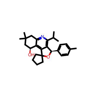 Cc1ccc([C@H]2OC3(CCCC3)c3c2c(C(C)C)nc2c3[C@@H](O)CC(C)(C)C2)cc1